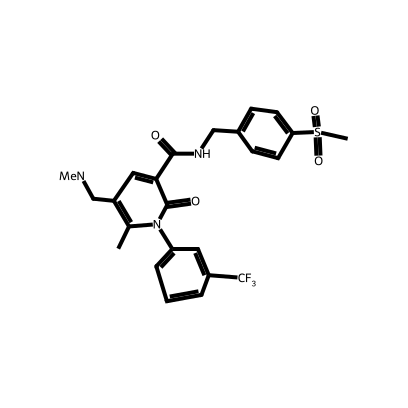 CNCc1cc(C(=O)NCc2ccc(S(C)(=O)=O)cc2)c(=O)n(-c2cccc(C(F)(F)F)c2)c1C